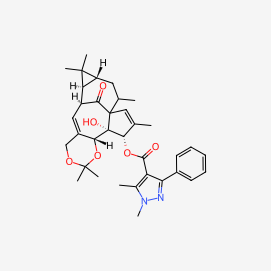 CC1=CC23C(=O)[C@@H](C=C4COC(C)(C)O[C@H]4[C@]2(O)[C@H]1OC(=O)c1c(-c2ccccc2)nn(C)c1C)[C@@H]1[C@@H](CC3C)C1(C)C